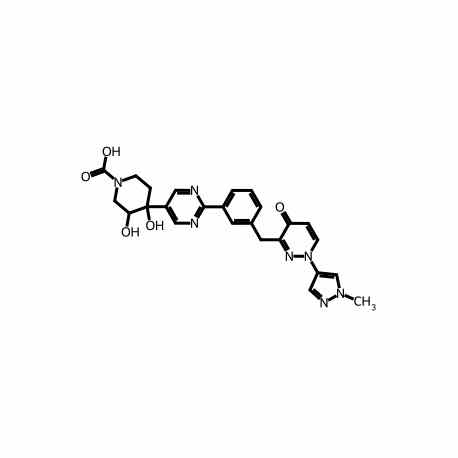 Cn1cc(-n2ccc(=O)c(Cc3cccc(-c4ncc(C5(O)CCN(C(=O)O)CC5O)cn4)c3)n2)cn1